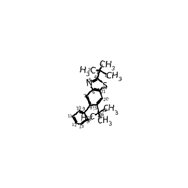 CC(C)(C)c1nc2cc(-c3ccccc3)c(C(C)(C)C)cc2s1